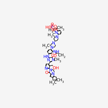 C=CC(=O)Nc1cc(Nc2nc(-c3ccnc(N4CCn5c(cc6c5CC(C)(C)C6)C4=O)c3CO)cn(C)c2=O)ccc1N1CCN(C2CCN(c3cccc(C(C)(C)OP(=O)(O)O)n3)[C@H](C)C2)C[C@@H]1C